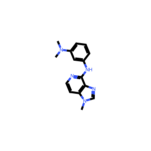 CN(C)c1cccc(Nc2nccc3c2ncn3C)c1